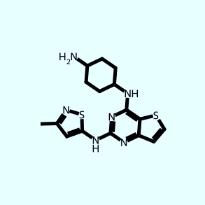 Cc1cc(Nc2nc(NC3CCC(N)CC3)c3sccc3n2)sn1